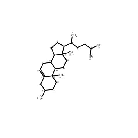 CCC(CCC(C)C1CCC2C3CC=C4CC(C)CCC4(C)C3CCC12C)C(C)C